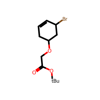 CC(C)(C)OC(=O)COC1CC=CC(Br)C1